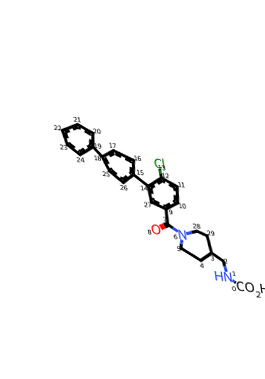 O=C(O)NCC1CCN(C(=O)c2ccc(Cl)c(-c3ccc(-c4ccccc4)cc3)c2)CC1